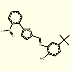 CC(C)(C)c1ccc(O)c(N=Cc2ccc(-c3ccccc3[N+](=O)[O-])o2)c1